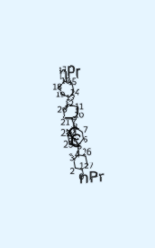 CCCC1CCC(C23CCC(c4ccc([C@H]5CC[C@H](CCC)CC5)cc4)(CC2)CC3)CC1